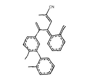 C=C(C(/C=C(\C)C#N)=c1\ccccc1=C)c1ccc(C)c(-c2ccccc2C)c1